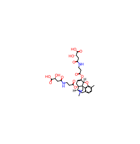 Cc1ccc2c3c1O[C@H]1C(OC(=O)CCNC(=O)C[C@H](O)C(=O)O)=CC[C@@]4(OC(=O)CCNC(=O)C[C@H](O)C(=O)O)[C@@H](C2)N(C)CC[C@]314